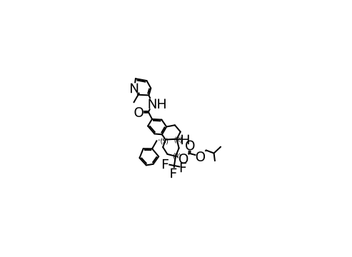 Cc1ncccc1NC(=O)c1ccc2c(c1)CC[C@@H]1C[C@@](OC(=O)OCC(C)C)(C(F)(F)F)CC[C@@]21Cc1ccccc1